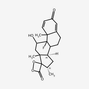 C[C@H]1C[C@@H]2C3CCC4=CC(=O)C=CC4(C)C3(F)C(O)CC2(C)C12OOC2=O